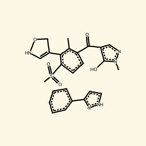 Cc1c(C(=O)c2cnn(C)c2O)ccc(S(C)(=O)=O)c1C1=CNOC1.[c]1ccc(-c2cc[nH]n2)cc1